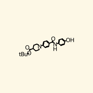 CC(C)(C)OC(=O)C1CCN(c2ccc(C(=O)Nc3ccc(O)cc3)cc2)CC1